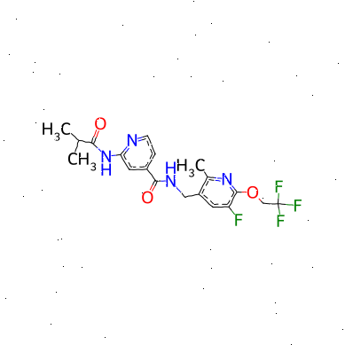 Cc1nc(OCC(F)(F)F)c(F)cc1CNC(=O)c1ccnc(NC(=O)C(C)C)c1